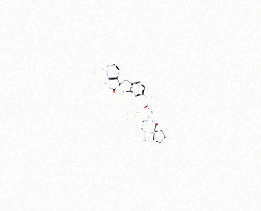 C[C@H]1CN(C)C2(CCCC2)C(=O)N1CC(=O)Nc1ccc2c(c1)C[C@@]1(C2)C(=O)NC2=C1C=CCN2